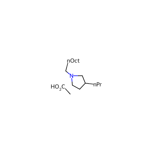 CC(=O)O.CCCCCCCCCN1CCC(CCC)C1